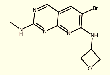 CNc1ncc2cc(Br)c(NC3COC3)nc2n1